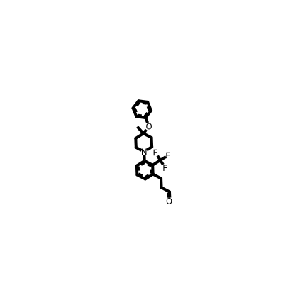 CC1(Oc2ccccc2)CCN(c2cccc(CCC=O)c2C(F)(F)F)CC1